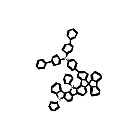 c1ccc(-c2ccc(N(c3ccc(-c4ccccc4)cc3)c3ccc(-c4ccc5c(c4)-c4c(ccc6c7ccc8c(c9ccccc9n8-c8ccccc8)c7n(-c7ccccc7)c46)C54c5ccccc5-c5ccccc54)cc3)cc2)cc1